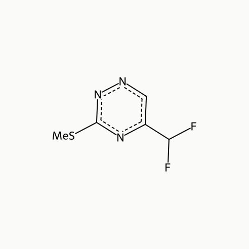 CSc1nncc(C(F)F)n1